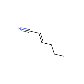 [CH2]CC/C=C/C#N